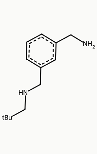 CC(C)(C)CNCc1cccc(CN)c1